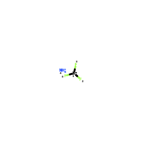 [F][Zr+]([F])[F].[NH4+]